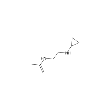 C=C(C)NCCNC1CC1